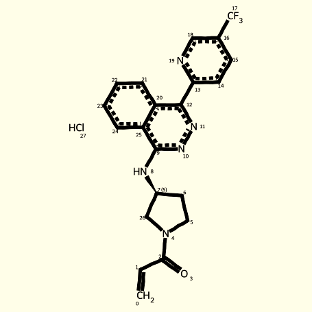 C=CC(=O)N1CC[C@H](Nc2nnc(-c3ccc(C(F)(F)F)cn3)c3ccccc23)C1.Cl